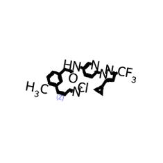 Cc1ccc(CC(=O)Nc2ccc(-n3nc(C(F)(F)F)cc3C3CC3)nc2)cc1/C=C\C=NCl